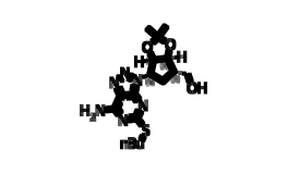 CCCCSc1nc(N)c2nnn([C@H]3C[C@@H](CO)[C@@H]4OC(C)(C)O[C@@H]43)c2n1